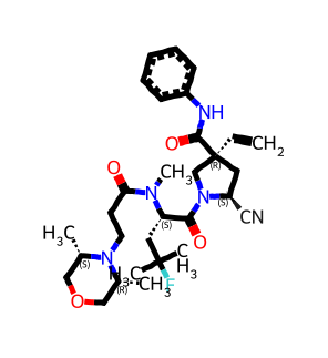 C=C[C@]1(C(=O)Nc2ccccc2)C[C@@H](C#N)N(C(=O)[C@H](CC(C)(C)F)N(C)C(=O)CCN2[C@H](C)COC[C@@H]2C)C1